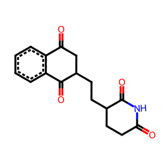 O=C1CCC(CCC2CC(=O)c3ccccc3C2=O)C(=O)N1